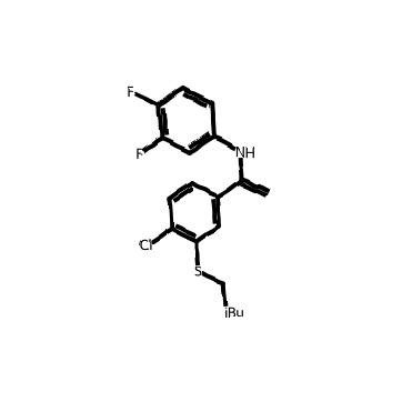 C=C(Nc1ccc(F)c(F)c1)c1ccc(Cl)c(SCC(C)CC)c1